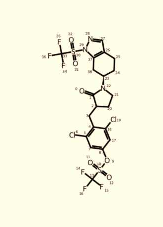 O=C1C(Cc2c(Cl)cc(OS(=O)(=O)C(F)(F)F)cc2Cl)CCN1[C@@H]1CCc2cnn(S(=O)(=O)C(F)(F)F)c2C1